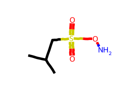 CC(C)CS(=O)(=O)ON